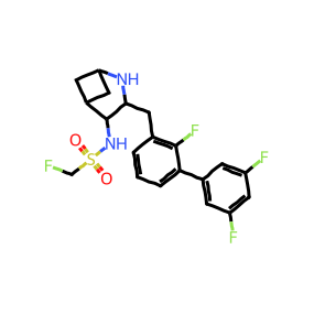 O=S(=O)(CF)NC1C2CC(C2)NC1Cc1cccc(-c2cc(F)cc(F)c2)c1F